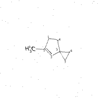 CC1=CC2(CC1)CC2